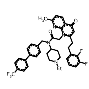 CCN1CCC(N(Cc2ccc(-c3ccc(C(F)(F)F)cc3)cc2)C(=O)Cn2c(CCc3cccc(F)c3F)cc(=O)c3ccc(C)nc32)CC1